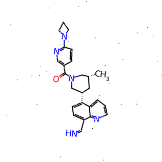 C[C@@H]1C[C@H](c2ccc(C=N)c3ncccc23)CN(C(=O)c2ccc(N3CCC3)nc2)C1